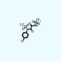 O=C(NS(=O)(=O)C(F)(F)F)C(=O)N(c1ccc(Cl)cc1)S(=O)(=O)C(F)(F)F